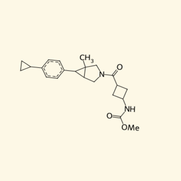 COC(=O)NC1CC(C(=O)N2CC3C(c4ccc(C5CC5)cc4)C3(C)C2)C1